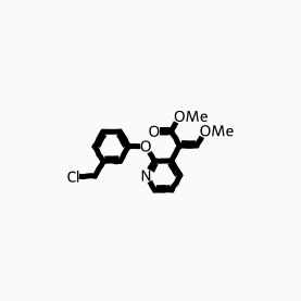 CO/C=C(\C(=O)OC)c1cccnc1Oc1cccc(CCl)c1